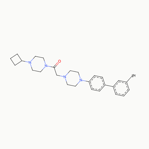 CC(C)c1cccc(-c2ccc(N3CCN(CC(=O)N4CCN(C5CCC5)CC4)CC3)cc2)c1